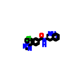 Cn1ncnc1-c1ccc(C(=O)N[C@H](CN)Cc2ccccc2)cc1Cl